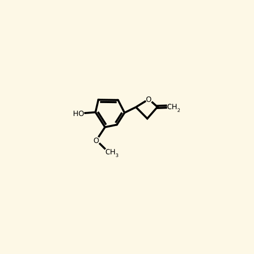 C=C1CC(c2ccc(O)c(OC)c2)O1